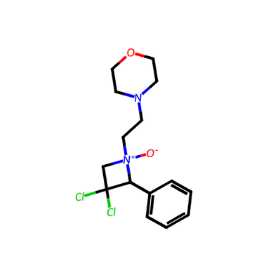 [O-][N+]1(CCN2CCOCC2)CC(Cl)(Cl)C1c1ccccc1